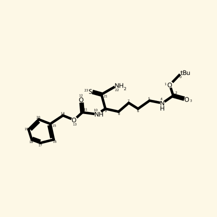 CC(C)(C)OC(=O)NCCCCC(NC(=O)OCc1ccccc1)C(N)=S